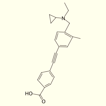 CCN(Cc1ccc(C#Cc2ccc(C(=O)O)cc2)cc1C)C1CC1